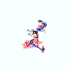 Cc1c(-c2ccc(N3CCc4cccc(C(=O)Nc5nc6ccccc6s5)c4C3)nc2C(=O)O)cnn1CC12CC3(C)CC(C)(C1)CC(OCCN(CCCP(=O)(O)O)C(=O)OC/C=C/c1ccc(O[C@@H]4O[C@H](C(=O)O)[C@@H](O)[C@H](O)[C@H]4O)c(NC(=O)CCNC(=O)CCCCCN4C(=O)C=CC4=O)c1)(C3)C2